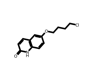 O=c1ccc2cc(OCCCCCl)ccc2[nH]1